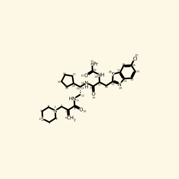 C=C(CN1CCSCC1)C(=O)NC[C@@H](NC(=O)C(Cc1nc2ccc(Cl)cc2s1)NC(=O)CCC)C1CCCC1